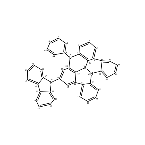 c1ccc(N2c3cccc4c3B3c5c(cc(-n6c7ccccc7c7ccccc76)cc52)-c2ccccc2N3c2ccccc2-4)cc1